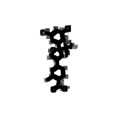 Cc1cc(C2=NOC(c3cc(Cl)cc(Cl)c3)(C(F)(F)F)C2)ccc1[N+](=O)[O-]